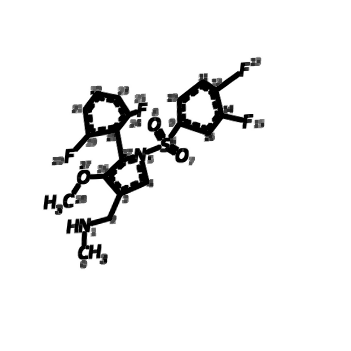 CNCc1cn(S(=O)(=O)c2ccc(F)c(F)c2)c(-c2c(F)cccc2F)c1OC